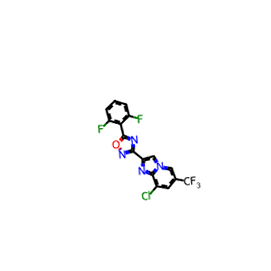 Fc1cccc(F)c1-c1nc(-c2cn3cc(C(F)(F)F)cc(Cl)c3n2)no1